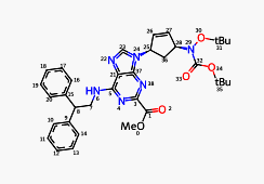 COC(=O)c1nc(NCC(c2ccccc2)c2ccccc2)c2ncn([C@H]3C=C[C@@H](N(OC(C)(C)C)C(=O)OC(C)(C)C)C3)c2n1